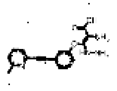 Cc1cccc(C#Cc2cccc(O/C(NN)=C(/N)C(=O)O)c2)n1